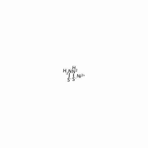 N[S-].N[S-].[Ni+2]